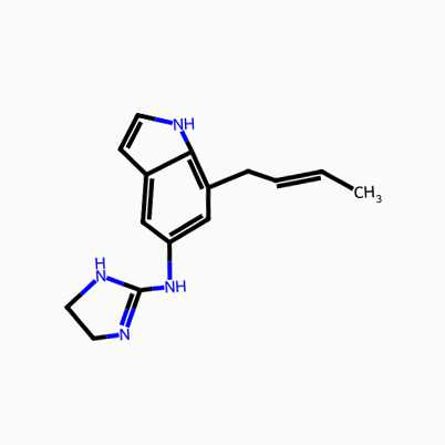 C/C=C/Cc1cc(NC2=NCCN2)cc2cc[nH]c12